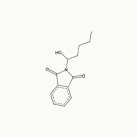 CCCCC(O)N1C(=O)c2ccccc2C1=O